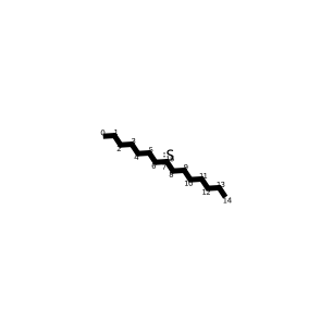 CCCCCCCCCCCCCCC.[S]